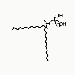 CCCCCCCCCCCCC(C)(CCCCCCCCCCCC)C(=S)OCC(CO)(CO)CO